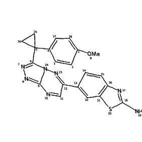 COc1ccc(C2(c3nnc4ncc(-c5ccc6nc(N)sc6c5)nn34)CC2)cc1